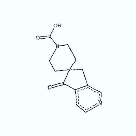 O=C(O)N1CCC2(CC1)Cc1cnccc1C2=O